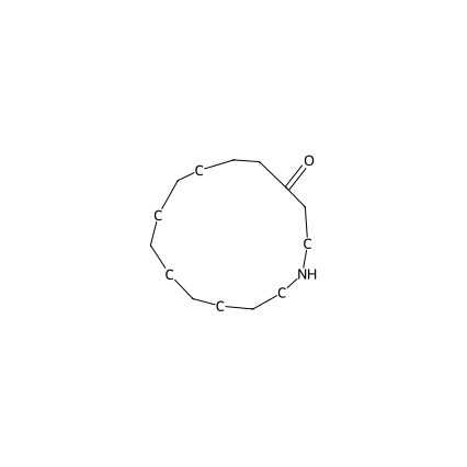 O=C1CCCCCCCCCCCNCC1